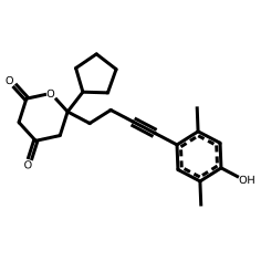 Cc1cc(C#CCCC2(C3CCCC3)CC(=O)CC(=O)O2)c(C)cc1O